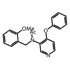 CC(=O)N(Cc1ccccc1O[11CH3])c1cnccc1Oc1ccccc1